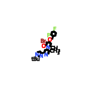 Cc1cnc(-c2ccnc(C(C)(C)C)n2)cc1-n1c(C)cc(OCc2ccc(F)cc2F)c(Br)c1=O